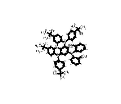 CCC(C)(C)c1ccc(N2c3ccc(C(C)(C)CC)cc3B3c4cc(C(C)(C)CC)ccc4N(c4ccc(C(C)(C)CC)cc4)c4cc(N(c5ccccc5C(C)(C)C)c5ccccc5C(C)(C)C)cc2c43)cc1